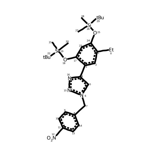 CCc1cc(-c2cn(Cc3ccc([N+](=O)[O-])cc3)nn2)c(O[Si](C)(C)C(C)(C)C)cc1O[Si](C)(C)C(C)(C)C